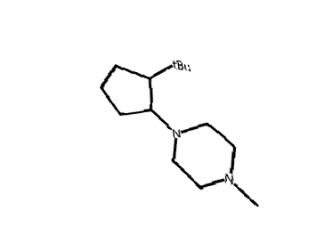 CN1CCN(C2CCCC2C(C)(C)C)CC1